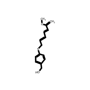 C=C(/C=C/C=C/CSc1ccc(CO)cc1)OC